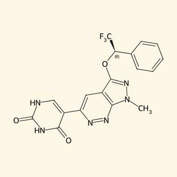 Cn1nc(O[C@H](c2ccccc2)C(F)(F)F)c2cc(-c3c[nH]c(=O)[nH]c3=O)nnc21